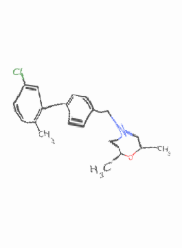 Cc1ccc(Cl)cc1-c1ccc(CN2CC(C)OC(C)C2)cc1